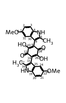 COc1ccc2[nH]c(C)c(C3=C(O)C(=O)C(c4c(C)[nH]c5ccc(OC)cc45)=C(O)C3=O)c2c1